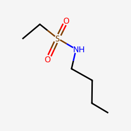 CCCCNS(=O)(=O)CC